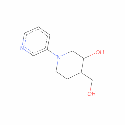 OCC1CCN(c2cccnc2)CC1O